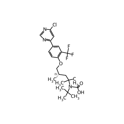 C[C@H](COc1ccc(-c2cc(Cl)ncn2)cc1C(F)(F)F)CC(C)(C)N(C(=O)O)C(C)(C)C